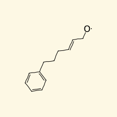 [O]CC=CCCCc1ccccc1